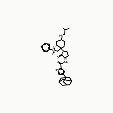 CC(C)CNC1CCC(CS(=O)(=O)c2ccccc2)(N2CC[C@H](NC(=O)c3cc(C45CC6CC(CC(C6)C4)C5)c[nH]3)C2=O)CC1